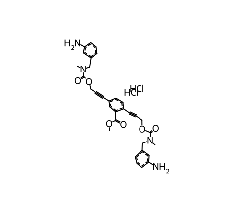 COC(=O)c1cc(C#CCOC(=O)N(C)Cc2cccc(N)c2)ccc1C#CCOC(=O)N(C)Cc1cccc(N)c1.Cl.Cl